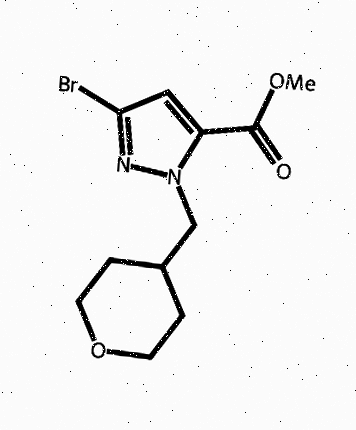 COC(=O)c1cc(Br)nn1CC1CCOCC1